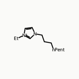 CCCCCCCCn1cc[n+](CC)c1